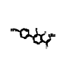 CCCC/C=C(/F)c1ccc(-c2ccc(CCC)cc2)c(F)c1F